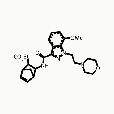 CCOC(=O)C1C2C=CC(C2)C1NC(=O)c1nn(CCN2CCOCC2)c2c(OC)cccc12